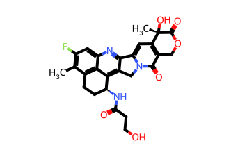 Cc1c(F)cc2nc3c(c4c2c1CC[C@@H]4NC(=O)CCO)Cn1c-3cc2c(c1=O)COC(=O)[C@@]2(C)O